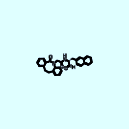 [2H]C(=O)[C@@H](Cc1ccc2ccccc2c1)NC(=O)CN1C(=O)c2ccccc2CCc2ccccc21